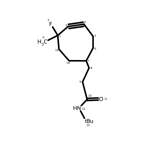 CC1(F)C#CCCC(CCC(=O)NC(C)(C)C)CC1